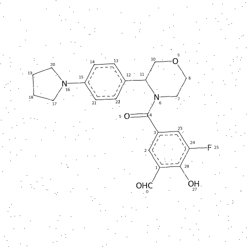 O=Cc1cc(C(=O)N2CCOCC2c2ccc(N3CCCC3)cc2)cc(F)c1O